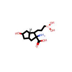 NC1(C(=O)O)CC2CC(O)C[C@H]2C1CCCB(O)O